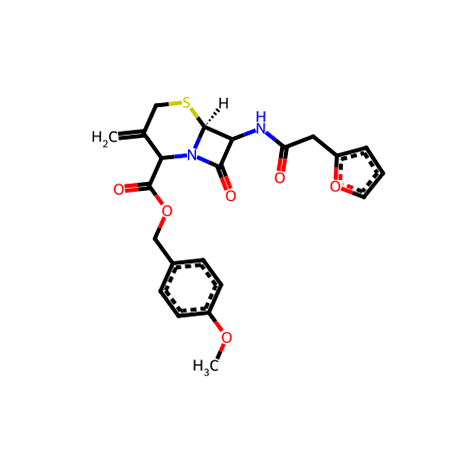 C=C1CS[C@H]2C(NC(=O)Cc3ccco3)C(=O)N2C1C(=O)OCc1ccc(OC)cc1